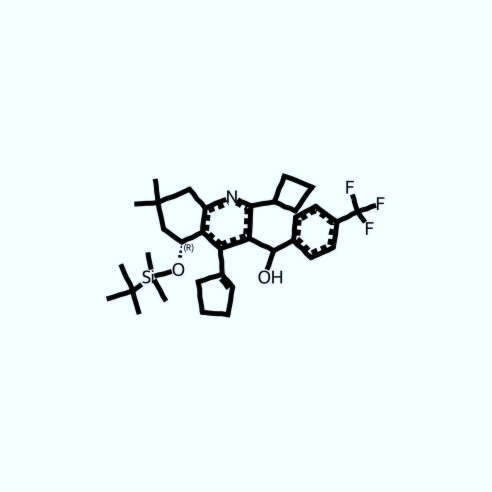 CC1(C)Cc2nc(C3CCC3)c(C(O)c3ccc(C(F)(F)F)cc3)c(C3=CCCC3)c2[C@H](O[Si](C)(C)C(C)(C)C)C1